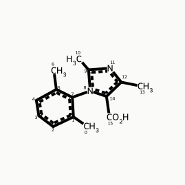 Cc1cccc(C)c1-n1c(C)nc(C)c1C(=O)O